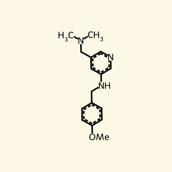 COc1ccc(CNc2cncc(CN(C)C)c2)cc1